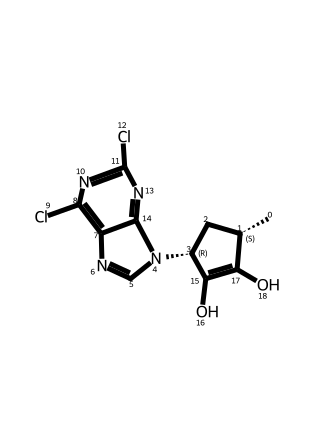 C[C@H]1C[C@@H](n2cnc3c(Cl)nc(Cl)nc32)C(O)=C1O